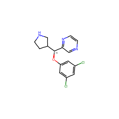 Clc1cc(Cl)cc(O[C@H](c2cnccn2)C2CCNC2)c1